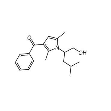 Cc1cc(C(=O)c2ccccc2)c(C)n1C(CO)CC(C)C